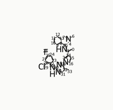 C=C(N[C@@H](CN(C)C)c1ccccc1)c1ccn(-c2nc(Nc3ccc(F)cc3Cl)ncc2C)c1